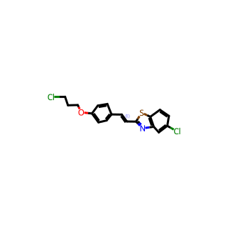 ClCCCOc1ccc(/C=C/c2nc3cc(Cl)ccc3s2)cc1